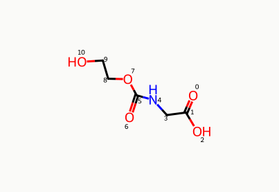 O=C(O)CNC(=O)OCCO